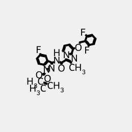 Cc1nc2c(OCc3c(F)cccc3F)cccn2c1C(=O)Nc1nn(C(=O)OC(C)(C)C)c2ccc(F)cc12